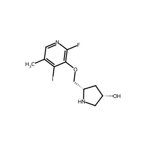 Cc1cnc(F)c(OC[C@@H]2C[C@H](O)CN2)c1I